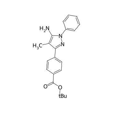 Cc1c(-c2ccc(C(=O)OC(C)(C)C)cc2)nn(-c2ccccc2)c1N